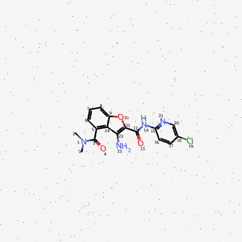 CN(C)C(=O)c1cccc2oc(C(=O)Nc3ccc(Cl)cn3)c(N)c12